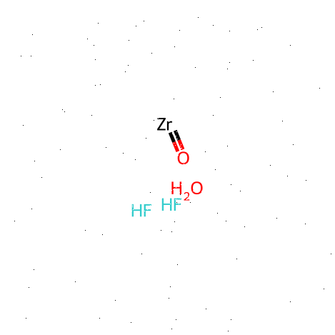 F.F.O.[O]=[Zr]